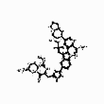 CCn1c(-c2cc(N3CCN4CCCC4C3)cnc2[C@H](C)OC)c(CC(C)(C)COC(C)=O)c2cc(-c3csc(CC(NC(=O)OC(C)(C)C)C(=O)N4CCCC(C(=O)O)N4)n3)ccc21